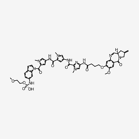 C=C1C[C@H]2C=Nc3cc(OCCCC(=O)Nc4cn(C)c(C(=O)Nc5cc(C(=O)Nc6cc(C(=O)n7ccc8ccc(NP(=O)(O)OCCOC)cc87)n(C)c6)n(C)c5)n4)c(OC)cc3C(=O)N2C1